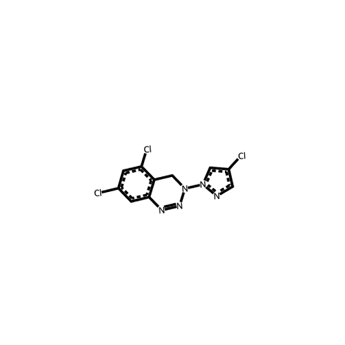 Clc1cc(Cl)c2c(c1)N=NN(n1cc(Cl)cn1)C2